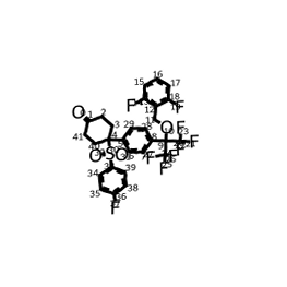 O=C1CCC(c2ccc(C(OCc3c(F)cccc3F)(C(F)(F)F)C(F)(F)F)cc2)(S(=O)(=O)c2ccc(F)cc2)CC1